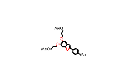 COCCCOc1cc2cc(-c3ccc(C(C)(C)C)cc3)oc2cc1OCCCOC